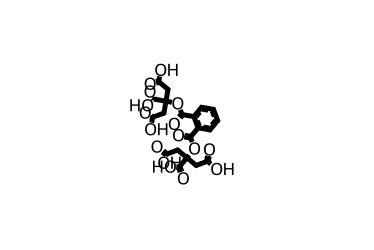 O=C(O)CC(CC(=O)O)(OC(=O)c1ccccc1C(=O)OC(CC(=O)O)(CC(=O)O)C(=O)O)C(=O)O